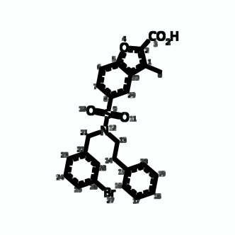 Cc1c(C(=O)O)oc2ccc(S(=O)(=O)N(CCc3ccccc3)Cc3cccc(Br)c3)cc12